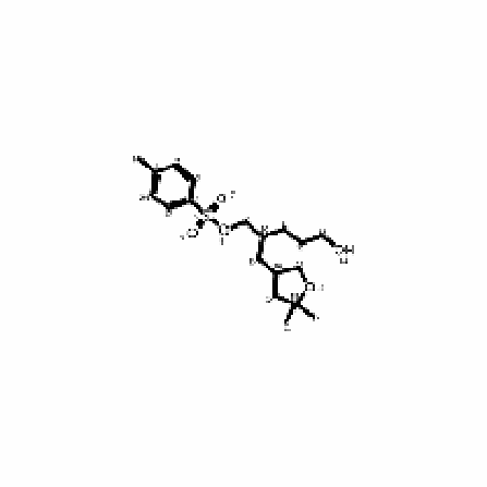 Cc1ccc(S(=O)(=O)OCC(CCCO)CC2COC(C)(C)C2)cc1